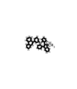 CC1(C)C2=C(c3ccccc3N(c3cccc(-c4cc5ccccc5c5ccccc45)c3)c3ccccc32)C2C=CC=CC21